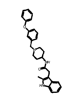 Cc1[nH]c2ccccc2c1CC(=O)NC1CCN(Cc2cccc(Oc3ccccc3)c2)CC1